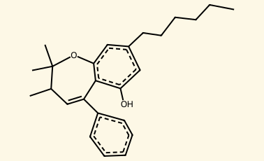 CCCCCCc1cc(O)c2c(c1)OC(C)(C)C(C)C=C2c1ccccc1